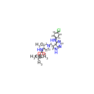 CC1CN(Cc2c[nH]c3ncnc(Nc4ccc(Cl)cc4)c23)CCC1NC(=O)OC(C)(C)C